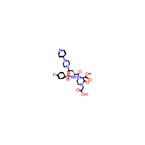 COC(=O)[C@@]1(C)C(=O)N(CC(=O)O)CCN1C(=O)[C@H](CC(=O)N1CCN(c2ccncc2)CC1)NS(=O)(=O)c1ccc(F)cc1